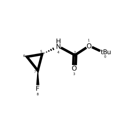 CC(C)(C)OC(=O)N[C@H]1C[C@@H]1F